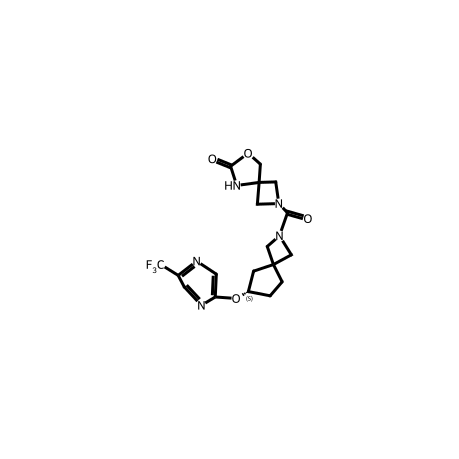 O=C1NC2(CO1)CN(C(=O)N1CC3(CC[C@H](Oc4cnc(C(F)(F)F)cn4)C3)C1)C2